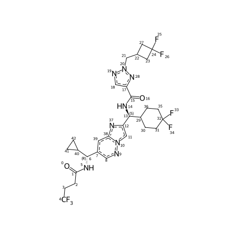 O=C(CCC(F)(F)F)N[C@@H](c1cnn2cc([C@@H](NC(=O)c3cnn(CC4CC(F)(F)C4)n3)C3CCC(F)(F)CC3)nc2c1)C1CC1